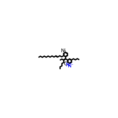 CCCCCCCCCC=CCCc1ccccc1C(=C(CC)C(=C=[N+]=[N-])CCCC)c1cccc(CCCC)c1.[Ni]